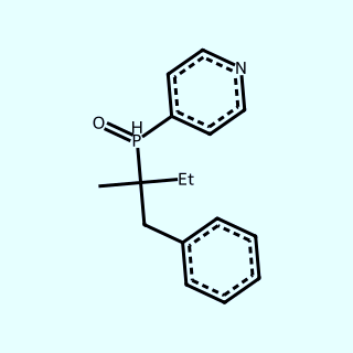 CCC(C)(Cc1ccccc1)[PH](=O)c1ccncc1